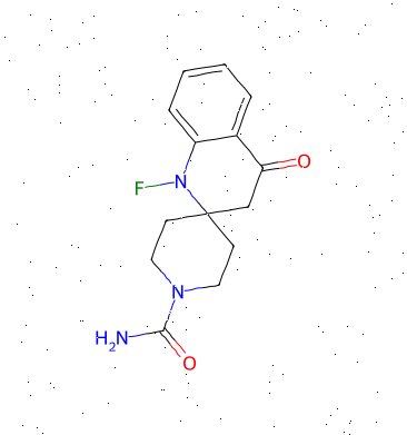 NC(=O)N1CCC2(CC1)CC(=O)c1ccccc1N2F